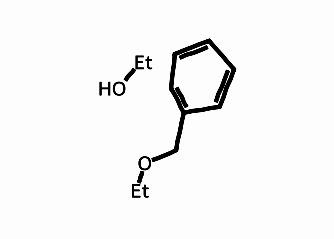 CCO.CCOCc1ccccc1